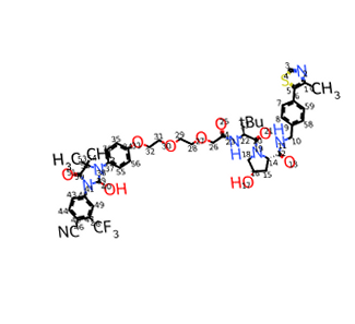 Cc1ncsc1-c1ccc(CNC(=O)[C@@H]2C[C@@H](O)CN2C(=O)[C@@H](NC(=O)COCCOCCOc2ccc(N3C(O)N(c4ccc(C#N)c(C(F)(F)F)c4)C(=O)C3(C)C)cc2)C(C)(C)C)cc1